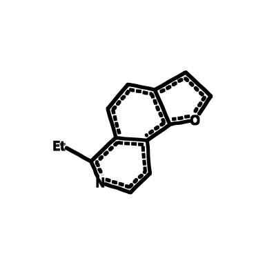 CCc1nccc2c1ccc1ccoc12